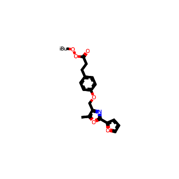 CCC(C)OOC(=O)CCc1ccc(OCc2nc(-c3ccco3)oc2C)cc1